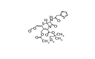 CC(=O)OCC1=C(C(=O)OC(C)(C)C)N2C(=O)C(NC(=O)Cc3cccs3)[C@H]2S/C1=C/OC=O